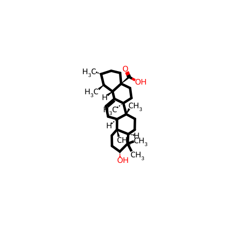 C[C@H]1[C@H](C)CC[C@]2(C(=O)O)CC[C@]3(C)C(=CC[C@@H]4[C@@]5(C)CC[C@@H](O)C(C)(C)[C@@H]5CC[C@]43C)[C@H]12